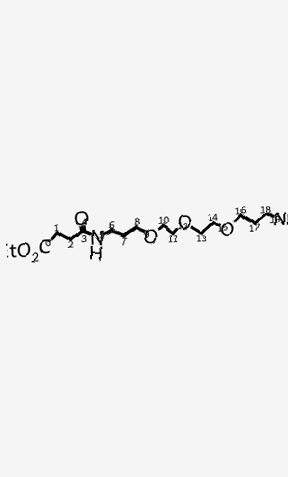 CCOC(=O)CCC(=O)NCCCOCCOCCOCCCN